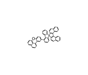 c1ccc2c(c1)-c1c(-c3ccc4c(c3)-c3cccc5cccc(c35)O4)cccc1C21c2ccc3ccccc3c2-c2c1ccc1ccccc21